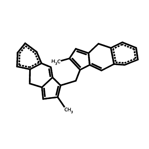 CC1=C(CC2=C(C)C=C3Cc4ccccc4C=C32)C2=Cc3ccccc3CC2=C1